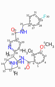 COc1cccc(C(=O)N[C@H]2C[C@H]3CC[C@H](N3)C2c2ccc(C(=O)NCc3ccc(F)cc3)cn2)c1C